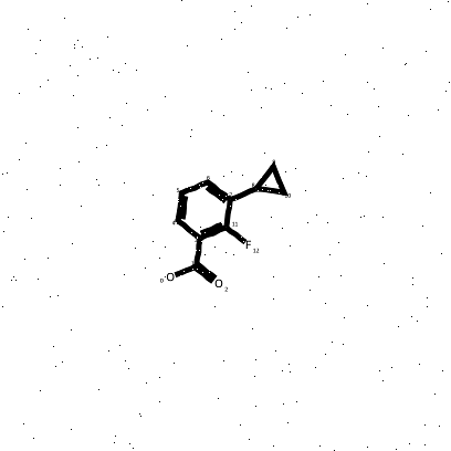 [O]C(=O)c1cccc(C2CC2)c1F